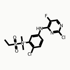 CCS(=O)(=O)[N+](C)(C)c1cc(Nc2nc(Cl)ncc2F)ccc1Cl